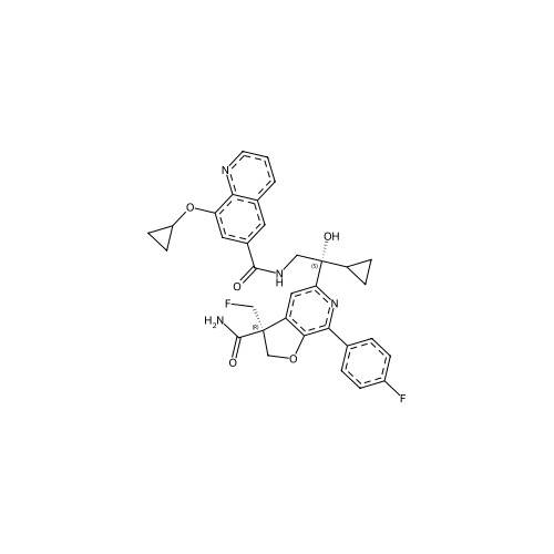 NC(=O)[C@]1(CF)COc2c1cc([C@@](O)(CNC(=O)c1cc(OC3CC3)c3ncccc3c1)C1CC1)nc2-c1ccc(F)cc1